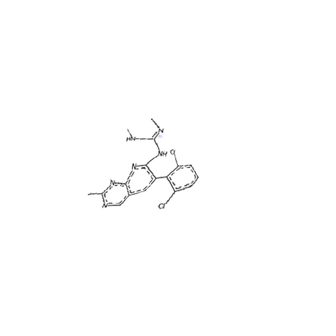 C/N=C(\NC)Nc1nc2nc(C)ncc2cc1-c1c(Cl)cccc1Cl